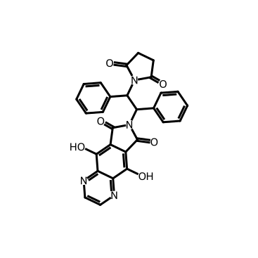 O=C1CCC(=O)N1C(c1ccccc1)C(c1ccccc1)N1C(=O)c2c(c(O)c3nccnc3c2O)C1=O